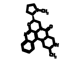 CC1CN2c3c4c(nc5ccccc35)OC([C@@H]3CCCN3C)CN4C(=O)C2CN1